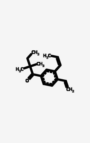 C=Cc1ccc(C(=O)C(C)(C)CC)cc1/C=C\C